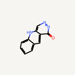 O=c1nncc2[nH]c3ccccc3cc1-2